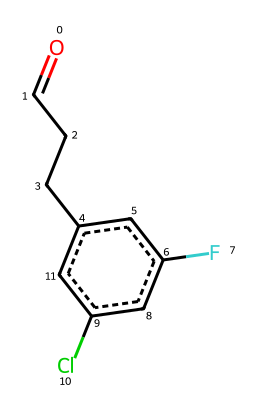 O=CCCc1cc(F)cc(Cl)c1